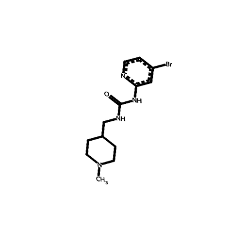 CN1CCC(CNC(=O)Nc2cc(Br)ccn2)CC1